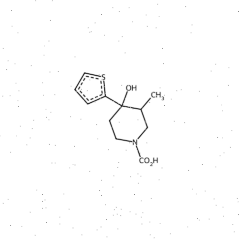 CC1CN(C(=O)O)CCC1(O)c1cccs1